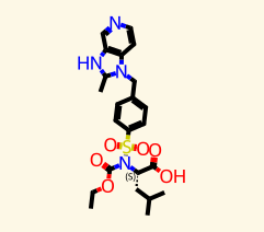 CCOC(=O)N([C@@H](CC(C)C)C(=O)O)S(=O)(=O)c1ccc(CN2c3ccncc3NC2C)cc1